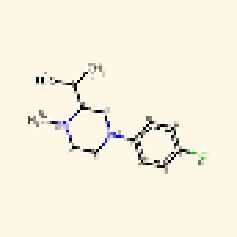 CC(C)C1CN(c2ccc(Cl)cc2)CCN1C